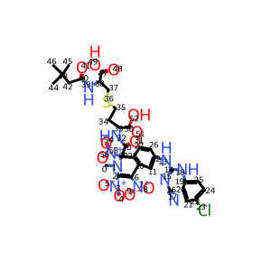 CN1C([N+](=O)[O-])=C([N+](=O)[O-])c2cc(NC(=NC#N)Nc3ccc(Cl)cc3)ccc2C1(C(=O)NC(CCSCC(NC(=O)CC(C)(C)C)C(=O)O)C(=O)O)[N+](=O)[O-]